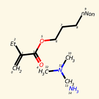 C=C(CC)C(=O)OCCCCCCCCCCCC.CN(C)C.N